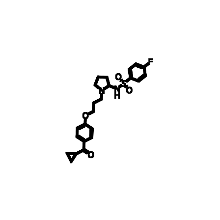 O=C(c1ccc(OCCCN2CCCC2NS(=O)(=O)c2ccc(F)cc2)cc1)C1CC1